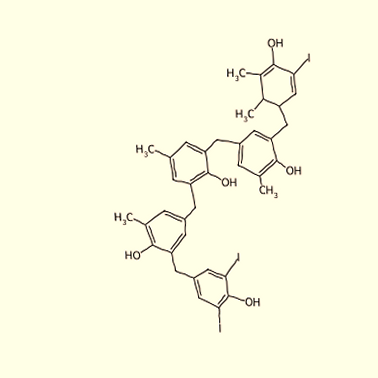 CC1=C(O)C(I)=CC(Cc2cc(Cc3cc(C)cc(Cc4cc(C)c(O)c(Cc5cc(I)c(O)c(I)c5)c4)c3O)cc(C)c2O)C1C